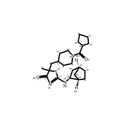 CC1(CC2CCN(C(=O)C3CCCC3)CC2)SC(N[C@H]2C[C@H]3CC[C@H]2C3)=NC1=O